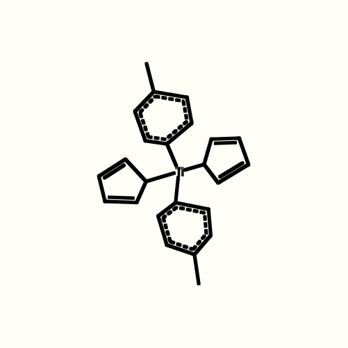 Cc1cc[c]([Ti]([c]2ccc(C)cc2)([CH]2C=CC=C2)[CH]2C=CC=C2)cc1